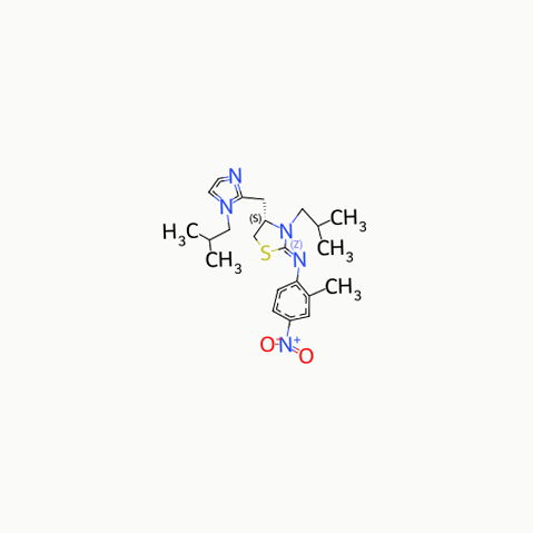 Cc1cc([N+](=O)[O-])ccc1/N=C1\SC[C@H](Cc2nccn2CC(C)C)N1CC(C)C